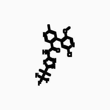 COc1cnc(Cl)cc1-c1cc(C)ncc1C(=O)Nc1nnc(C(C)(C)C(F)(F)F)s1